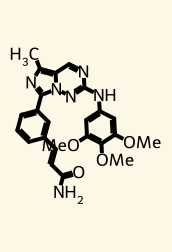 COc1cc(Nc2ncc3c(C)nc(-c4cccc(C=CC(N)=O)c4)n3n2)cc(OC)c1OC